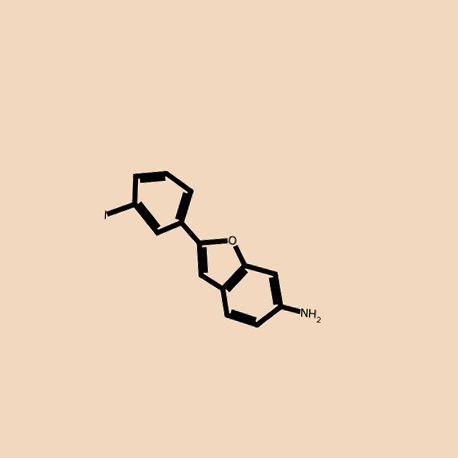 Nc1ccc2cc(-c3cccc(I)c3)oc2c1